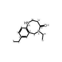 CCc1ccc2c(c1)CN(CC)C(=O)CCN2